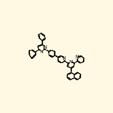 c1ccc(-c2cc(-c3ccccc3)nc(-c3ccc(-c4ccc(-c5cc(-c6cccc7ccccc67)cc(-c6ccccn6)n5)nc4)cc3)n2)cc1